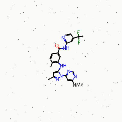 CNc1cc(-n2nc(C)cc2Nc2cc(C(=O)Nc3cc(C(C)(F)F)ccn3)ccc2C)ncn1